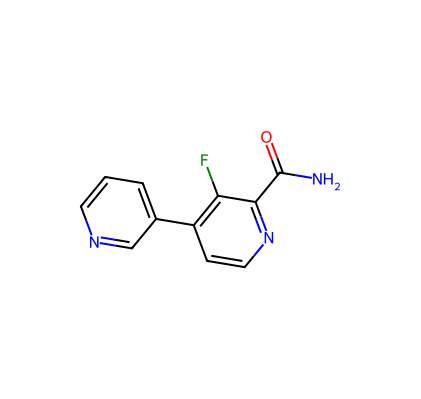 NC(=O)c1nccc(-c2cccnc2)c1F